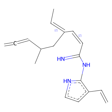 C=C=CC(C)CC(/C=C\C(=N)Nc1[nH]ccc1C=C)=C/C